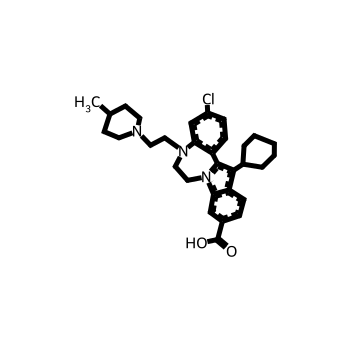 CC1CCN(CCN2CCn3c(c(C4CCCCC4)c4ccc(C(=O)O)cc43)-c3ccc(Cl)cc32)CC1